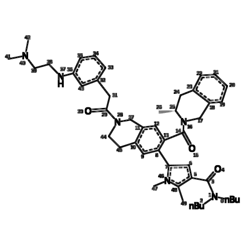 CCCCN(CCCC)C(=O)c1cc(-c2cc3c(cc2C(=O)N2Cc4ccccc4C[C@H]2C)CN(C(=O)Cc2cccc(NCCN(C)C)c2)CC3)n(C)c1C